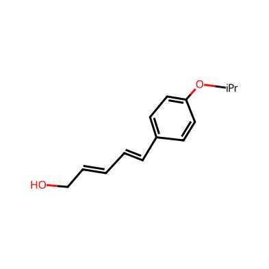 CC(C)Oc1ccc(/C=C/C=C/CO)cc1